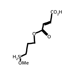 CO[SiH2]CCCOC(=O)C=CC(=O)O